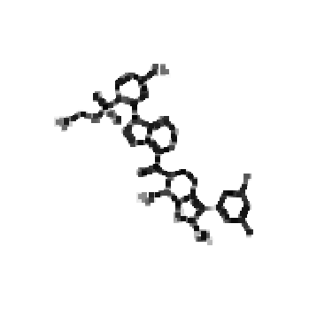 CCOS(=O)(=O)c1ccc(C)cc1-n1ccc2c(C(=O)N3CCc4c(nn(C)c4-c4cc(F)cc(F)c4)C3C)ccnc21